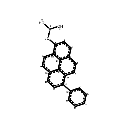 OB(O)Oc1ccc2ccc3c(-c4ccccc4)ccc4ccc1c2c43